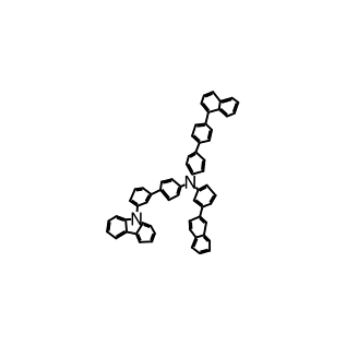 c1cc(-c2ccc3ccccc3c2)cc(N(c2ccc(-c3ccc(-c4cccc5ccccc45)cc3)cc2)c2ccc(-c3cccc(-n4c5ccccc5c5ccccc54)c3)cc2)c1